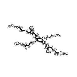 CCCCCCCCCCCCCCOc1c2cc(-c3nc(CCCCCCCCCCCCCC)c(Br)s3)sc2c(OCCCCCCCCCCCCCC)c2cc(-c3nc(CCCCCCCCCCCCCC)c(Br)s3)sc12